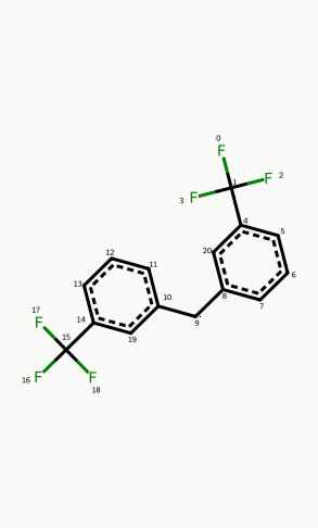 FC(F)(F)c1cccc([CH]c2cccc(C(F)(F)F)c2)c1